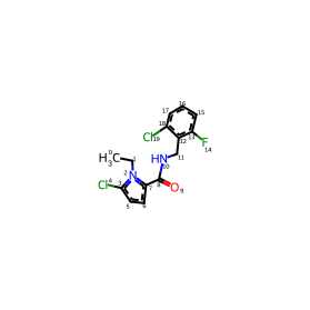 CCn1c(Cl)ccc1C(=O)NCc1c(F)cccc1Cl